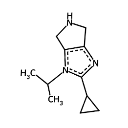 CC(C)n1c(C2CC2)nc2c1CNC2